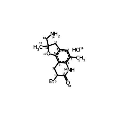 CCC1Cc2c(c(C)cc3c2OC(C)(CN)C3)NC1=O.Cl